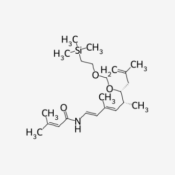 C=C(C)C[C@@H](OCOCC[Si](C)(C)C)[C@H](C)/C=C(C)/C=C/NC(=O)C=C(C)C